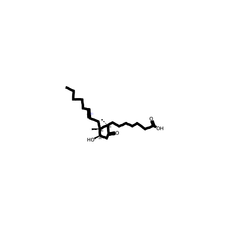 CCCCC/C=C/C[C@@]1(C)[C@H](O)CC(=O)[C@]1(C)CCCCCCC(=O)O